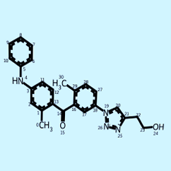 Cc1cc(Nc2ccccc2)ccc1C(=O)c1cc(-n2cc(CCO)nn2)ccc1C